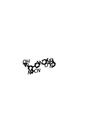 CC1(O)CN(c2cc(-c3ccc(N4CCC(C)(NC(=O)c5ncccc5Cl)CC4)nc3)c3c(C#N)cnn3c2)C1